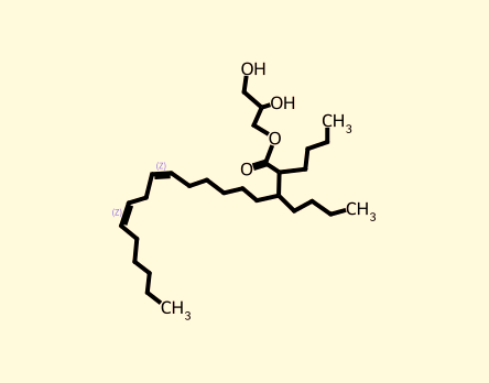 CCCCC/C=C\C/C=C\CCCCCC(CCCC)C(CCCC)C(=O)OCC(O)CO